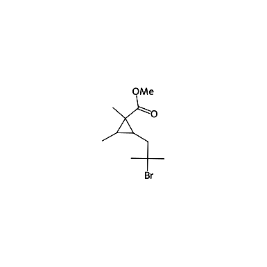 COC(=O)C1(C)C(C)C1CC(C)(C)Br